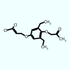 CCc1cc(OCC=C(Cl)Cl)cc(CC)c1OCC(C)=O